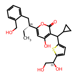 CC[C@H](Cc1ccccc1CO)c1cc(O)c(C(c2ccc([C@@H](O)CO)s2)C2CC2)c(=O)o1